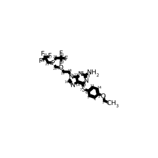 CCOc1ccc(Sc2nc(N)nc3c2ncn3CCOCP(CC(F)(F)F)CC(F)(F)F)cc1